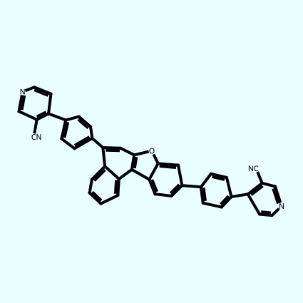 N#Cc1cnccc1-c1ccc(-c2ccc3c(c2)oc2cc(-c4ccc(-c5ccncc5C#N)cc4)c4ccccc4c23)cc1